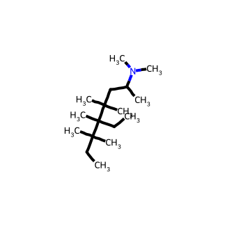 CCC(C)(C)C(C)(CC)C(C)(C)CC(C)N(C)C